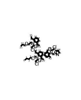 CCCCOCN(C(=O)CCl)c1c(CC)cccc1CC.CCCOCCN(C(=O)CCl)c1c(CC)cccc1CC.Cc1cccc(C)c1N(Cn1cccn1)C(=O)CCl